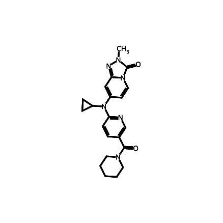 Cn1nc2cc(N(c3ccc(C(=O)N4CCCCC4)cn3)C3CC3)ccn2c1=O